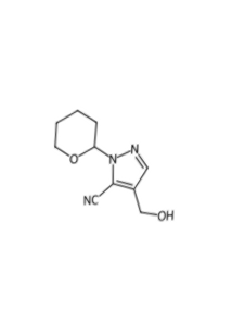 N#Cc1c(CO)cnn1C1CCCCO1